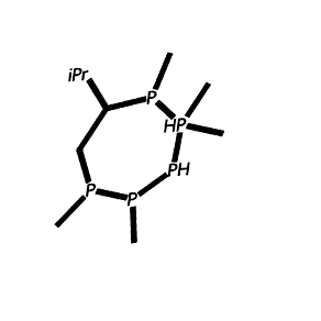 CC(C)C1CP(C)P(C)P[PH](C)(C)P1C